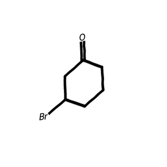 O=C1CCCC(Br)C1